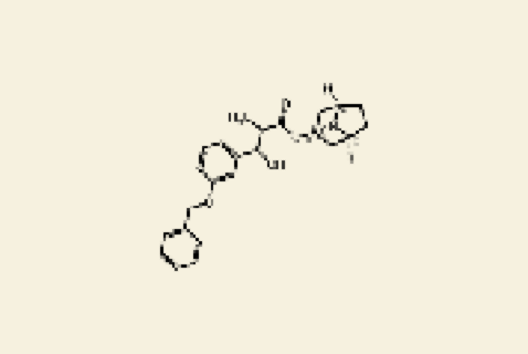 CC(C(=O)O[C@H]1C[C@H]2CC[C@@H](C1)N2C)C(O)c1cccc(OCc2ccccc2)c1